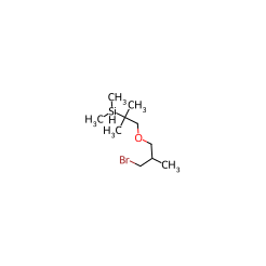 CC(CBr)COCC(C)(C)[SiH](C)C